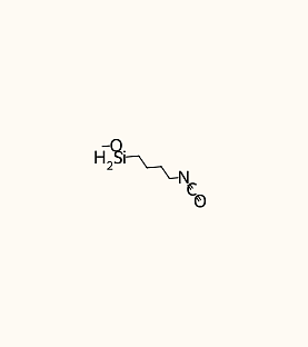 CO[SiH2]CCCCN=C=O